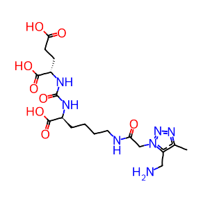 Cc1nnn(CC(=O)NCCCC[C@H](NC(=O)N[C@@H](CCC(=O)O)C(=O)O)C(=O)O)c1CN